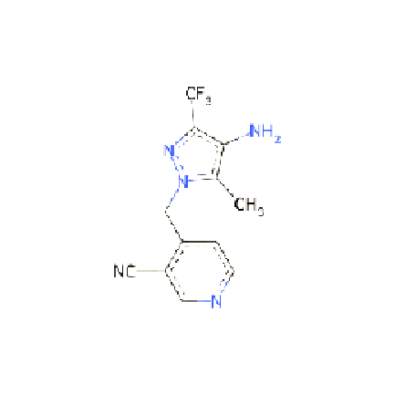 Cc1c(N)c(C(F)(F)F)nn1Cc1ccncc1C#N